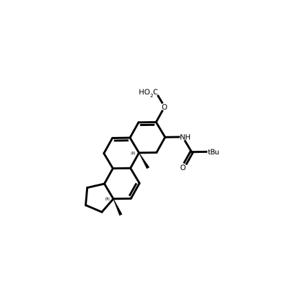 CC(C)(C)C(=O)NC1C[C@@]2(C)C(=CCC3C2C=C[C@]2(C)CCCC32)C=C1OC(=O)O